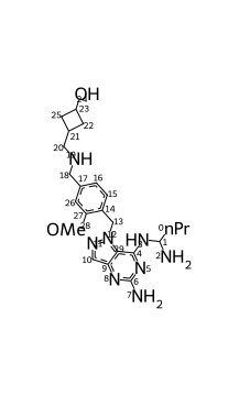 CCCC(N)Nc1nc(N)nc2cnn(Cc3ccc(CNCC4CC(O)C4)cc3OC)c12